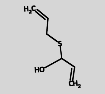 C=CCSC(O)C=C